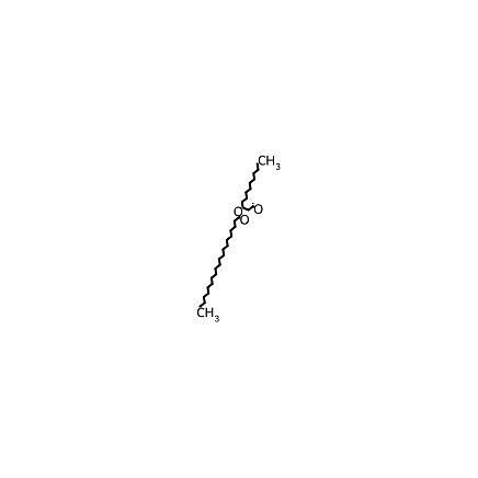 CCCCCCCCCCCCCCCCCCCCC(=O)OC(C[C]=O)CCCCCCCCCC